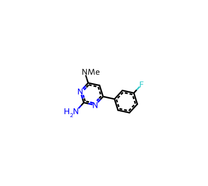 CNc1cc(-c2cccc(F)c2)nc(N)n1